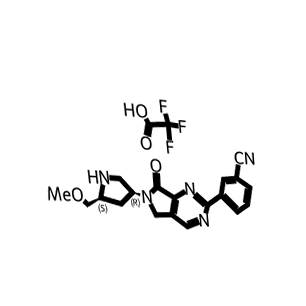 COC[C@@H]1C[C@@H](N2Cc3cnc(-c4cccc(C#N)c4)nc3C2=O)CN1.O=C(O)C(F)(F)F